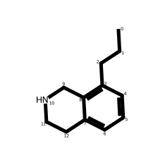 CCCc1cccc2c1CNCC2